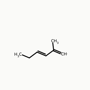 [CH]=C(C)C=CCC